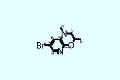 CC1CN(C)c2cc(Br)cnc2O1